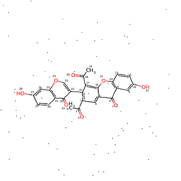 CC(=O)c1cc2c(=O)c3cc(O)ccc3oc2c(C(C)=O)c1-c1coc2cc(O)ccc2c1=O